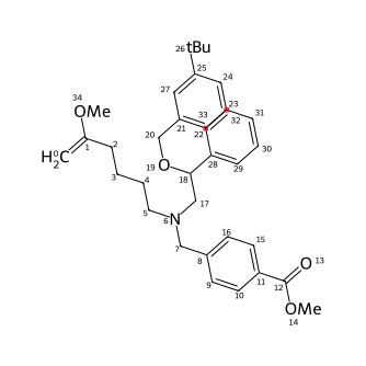 C=C(CCCCN(Cc1ccc(C(=O)OC)cc1)CC(OCc1cccc(C(C)(C)C)c1)c1ccccc1)OC